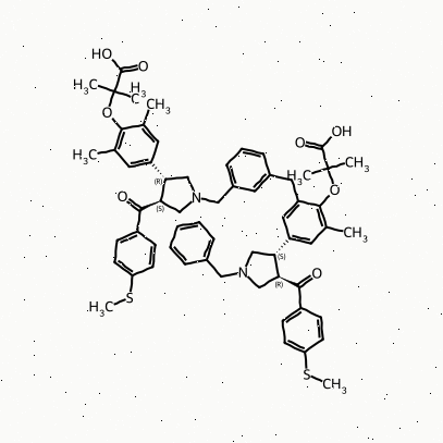 CSc1ccc(C(=O)[C@H]2CN(Cc3ccccc3)C[C@@H]2c2cc(C)c(OC(C)(C)C(=O)O)c(Cc3cccc(CN4C[C@@H](C(=O)c5ccc(SC)cc5)[C@H](c5cc(C)c(OC(C)(C)C(=O)O)c(C)c5)C4)c3)c2)cc1